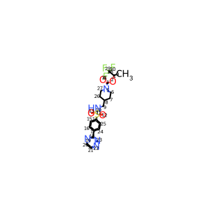 CC(OC(=O)N1CCC(CNS(=O)(=O)c2ccc(-c3nccnn3)cc2)CC1)C(F)(F)F